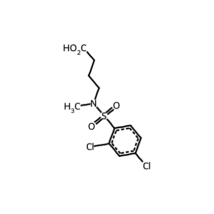 CN(CCCC(=O)O)S(=O)(=O)c1ccc(Cl)cc1Cl